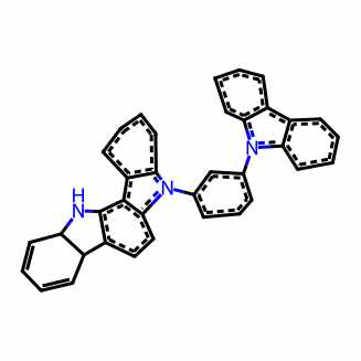 C1=CC2Nc3c(ccc4c3c3ccccc3n4-c3cccc(-n4c5ccccc5c5ccccc54)c3)C2C=C1